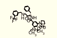 CCNc1cc(C(=O)N[C@@H](Cc2ccccc2)[C@H](O)CNCc2cccc(C(F)(F)F)c2)cc(N2CCCS2(=O)=O)c1OC